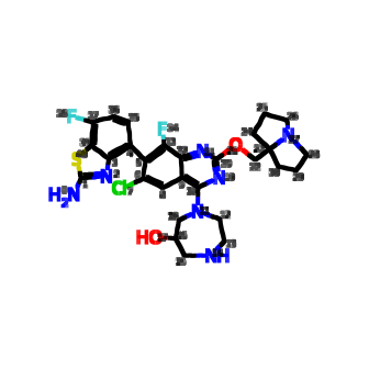 Nc1nc2c(-c3c(Cl)cc4c(N5CCNCC(O)C5)nc(OCC56CCCN5CCC6)nc4c3F)ccc(F)c2s1